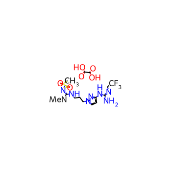 CN/C(=N/S(C)(=O)=O)NCCCn1ccc(N/C(N)=N\CC(F)(F)F)n1.O=C(O)C(=O)O